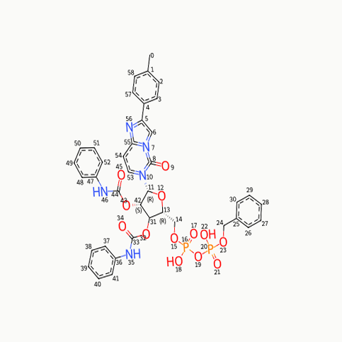 Cc1ccc(-c2cn3c(=O)n([C@@H]4O[C@H](COP(=O)(O)OP(=O)(O)OCc5ccccc5)C(OC(=O)Nc5ccccc5)[C@@H]4OC(=O)Nc4ccccc4)ccc3n2)cc1